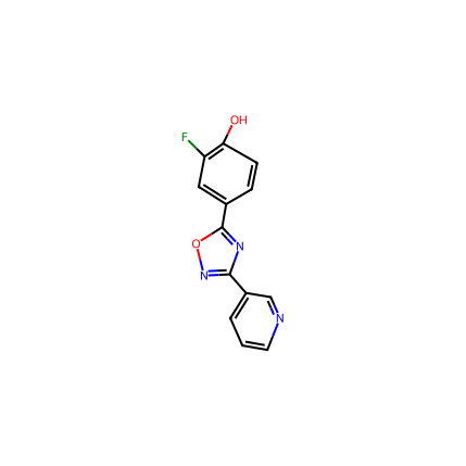 Oc1ccc(-c2nc(-c3cccnc3)no2)cc1F